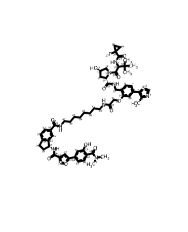 Cc1ncsc1-c1ccc(CNC(=O)[C@@H]2C[C@@H](O)CN2C(=O)C(NC(=O)C2(F)CC2)C(C)(C)C)c(OCC(=O)NCCCCCCCCNC(=O)c2ccc3c(c2)[C@H](NC(=O)c2cc(-c4ccc(C(=O)N(C)C)c(O)c4)on2)CC3)c1